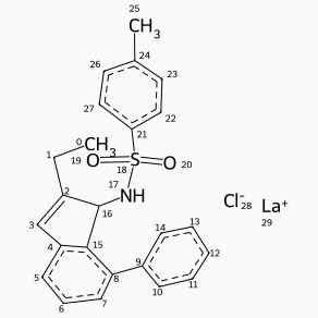 CCC1=Cc2cccc(-c3ccccc3)c2C1NS(=O)(=O)c1ccc(C)cc1.[Cl-].[La+]